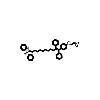 CN(C)CCOc1ccc(/C(=C(/CCCCCCCCCC[PH](C)(c2ccccc2)c2ccccc2)c2ccccc2)c2ccccc2)cc1